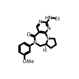 CCNc1ncc2c(n1)N1CCC[C@H]1CN(c1cccc(OC)c1)C2=O